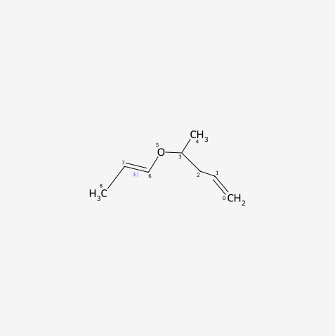 C=CCC(C)O/C=C/C